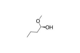 CCC[C@H](O)OC